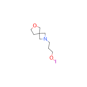 IOCCCN1CC2(CCOC2)C1